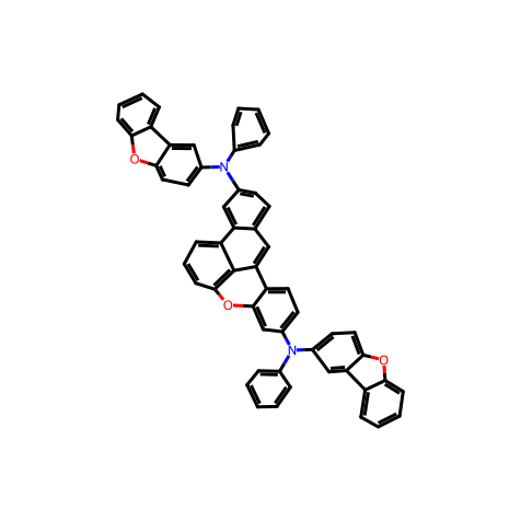 c1ccc(N(c2ccc3c(c2)Oc2cccc4c2c-3cc2ccc(N(c3ccccc3)c3ccc5oc6ccccc6c5c3)cc24)c2ccc3oc4ccccc4c3c2)cc1